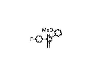 COc1ccccc1-c1c[nH]c(-c2ccc(F)cc2)n1